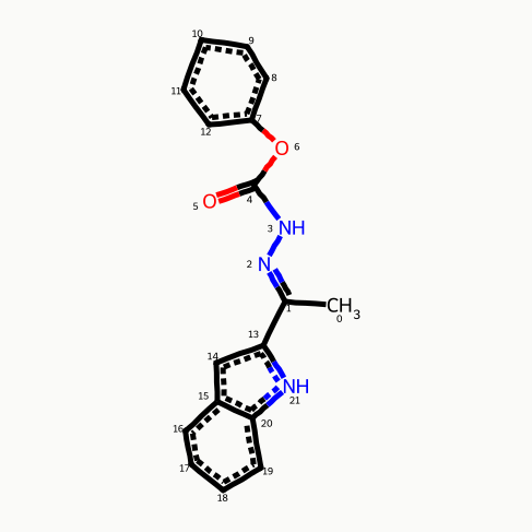 CC(=NNC(=O)Oc1ccccc1)c1cc2ccccc2[nH]1